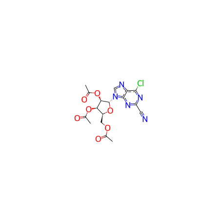 CC(=O)OC[C@@H]1O[C@@H](n2cnc3c(Cl)nc(C#N)nc32)[C@H](OC(C)=O)[C@@H]1OC(C)=O